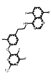 Cc1cc(CCNc2ncnc3c(F)ccc(F)c23)ccc1Oc1nc(C(F)(F)F)nc(F)c1F